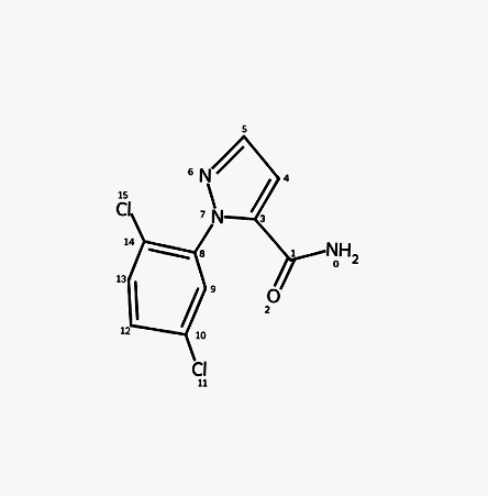 NC(=O)c1ccnn1-c1cc(Cl)ccc1Cl